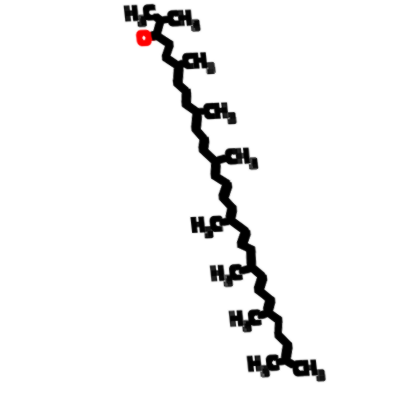 CC(C)=CCC/C(C)=C/C=C/C(C)=C/C=C/C(C)=C/C=C/C=C(C)/C=C/C=C(C)/C=C/C=C(\C)CCC(=O)C(C)C